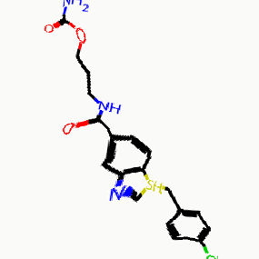 NC(=O)OCCCNC(=O)c1ccc2c(c1)N=C[SH]2Cc1ccc(Cl)cc1